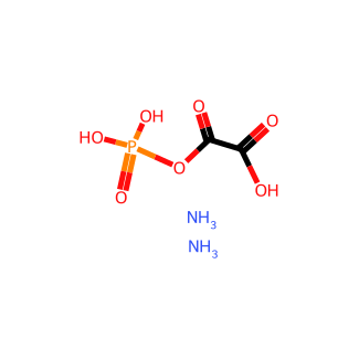 N.N.O=C(O)C(=O)OP(=O)(O)O